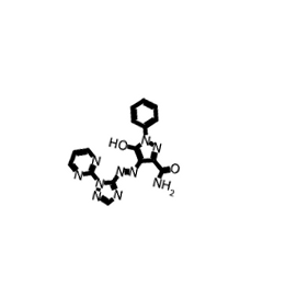 NC(=O)c1nn(-c2ccccc2)c(O)c1N=Nc1ncnn1-c1ncccn1